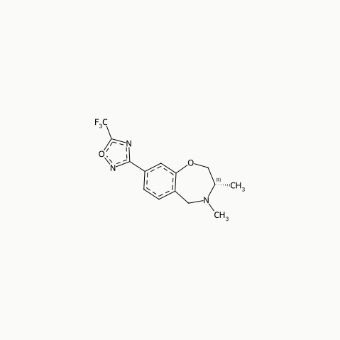 C[C@H]1COc2cc(-c3noc(C(F)(F)F)n3)ccc2CN1C